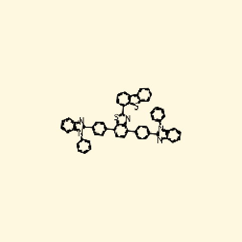 c1ccc(-n2c(-c3ccc(-c4ccc(-c5ccc(-c6nc7ccccc7n6-c6ccccc6)cc5)c5sc(-c6cccc7c6sc6ccccc67)nc45)cc3)nc3ccccc32)cc1